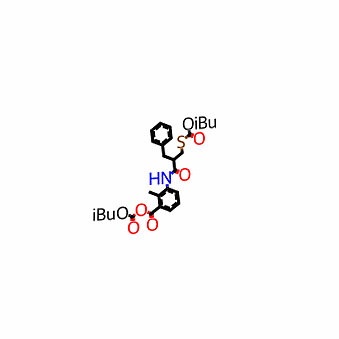 Cc1c(NC(=O)C(CSC(=O)OCC(C)C)Cc2ccccc2)cccc1C(=O)OC(=O)OCC(C)C